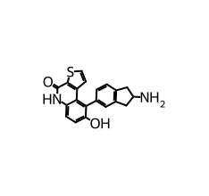 NC1Cc2ccc(-c3c(O)ccc4[nH]c(=O)c5sccc5c34)cc2C1